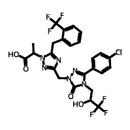 CC(C(=O)O)n1nc(Cn2nc(-c3ccc(Cl)cc3)n(CC(O)C(F)(F)F)c2=O)nc1Cc1ccccc1C(F)(F)F